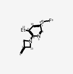 C=C1CN(c2ncc(SF)cc2CC)C1